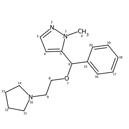 Cn1nccc1C(OCCN1CCCC1)c1ccccc1